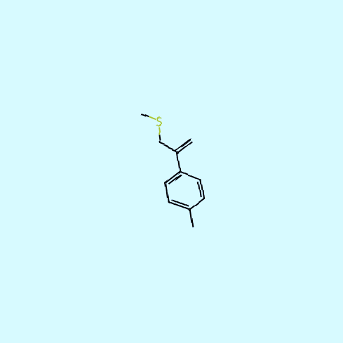 C=C(CSC)c1ccc(C)cc1